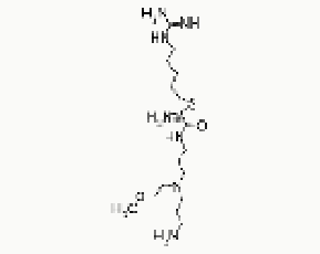 COCCN(CCCN)CCCNC(=O)[C@@]1(N)SC1CCCCNC(=N)N